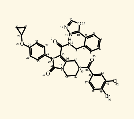 O=C(NCc1ccccc1-c1nnco1)c1c2n(c(=O)n1-c1ccc(OC3CC3)cc1)CCN(C(=O)c1ccc(Br)c(Cl)c1)C2